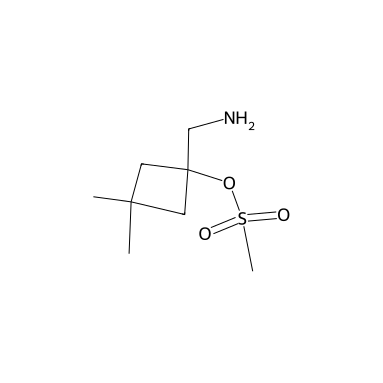 CC1(C)CC(CN)(OS(C)(=O)=O)C1